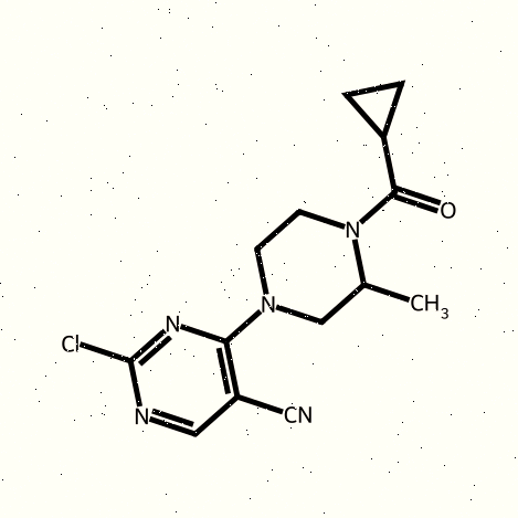 CC1CN(c2nc(Cl)ncc2C#N)CCN1C(=O)C1CC1